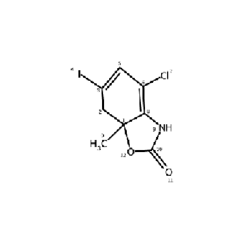 CC12CC(I)=CC(Cl)=C1NC(=O)O2